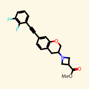 COC(=O)C1CN(C2COc3cc(C#Cc4cccc(F)c4F)ccc3C2)C1